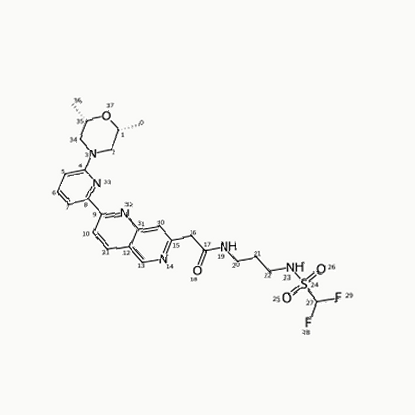 C[C@@H]1CN(c2cccc(-c3ccc4cnc(CC(=O)NCCCNS(=O)(=O)C(F)F)cc4n3)n2)C[C@H](C)O1